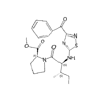 CC[C@H](C)[C@H](Nc1nc(C(=O)c2ccccc2)ns1)C(=O)N1CCC[C@H]1C(=O)OC